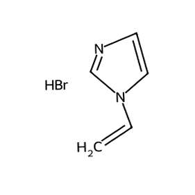 Br.C=Cn1ccnc1